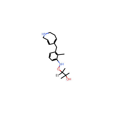 CCC(C)(ONc1cccc(CC2=C/CCNC\C=C\2)c1C)C(C)(C)O